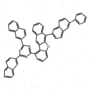 c1ccc(-c2ccc3cc(-c4c5ccccc5cc5c4oc4cccc(-c6nc(-c7ccc8ccccc8c7)nc(-c7ccc8ccccc8c7)n6)c45)ccc3c2)cc1